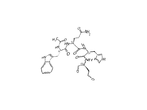 CC(=O)N[C@@H](Cc1c[nH]c2ccccc12)C(=O)N[C@@H](CCC(N)=O)C(=O)N[C@@H](Cc1c[nH]cn1)C(=O)N[C@H](C=O)CC=O